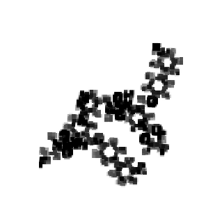 C[C@@H](OC(=O)N1CC[C@H](NS(=O)(=O)N(C)Cc2cnnc(N3CCC(NS(=O)(=O)N(C)CCF)C(CO[C@H]4CC[C@@H](c5cccc(F)c5)CC4)C3)c2)[C@H](CO[C@H]2CC[C@@H](c3cccc(F)c3)CC2)C1)C(F)F